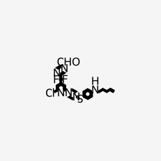 C=CCCCNc1ccc(SN2CCN(c3cc(C(F)(F)c4cnc(C=O)cn4)cc(Cl)n3)CC2)cc1